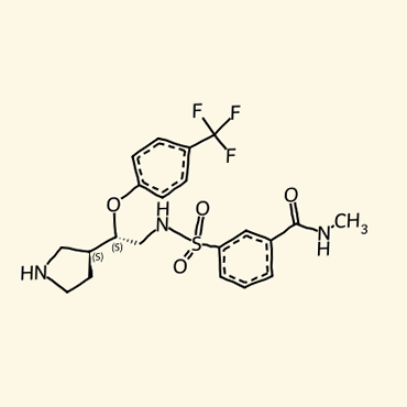 CNC(=O)c1cccc(S(=O)(=O)NC[C@@H](Oc2ccc(C(F)(F)F)cc2)[C@H]2CCNC2)c1